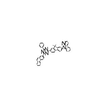 CC1(C)c2cc(-c3nc(-c4ccccc4)nc(-c4ccc5c(ccc6ccccc65)c4)n3)ccc2-c2ccc(-n3c4ccccc4c4cccnc43)cc21